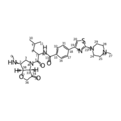 CN[C@H]1CN(C(=O)C(CC(C)C)NC(=O)c2ccc(-c3csc(N4CCN(C)CC4)n3)cc2)[C@@H]2C(=O)CO[C@H]12